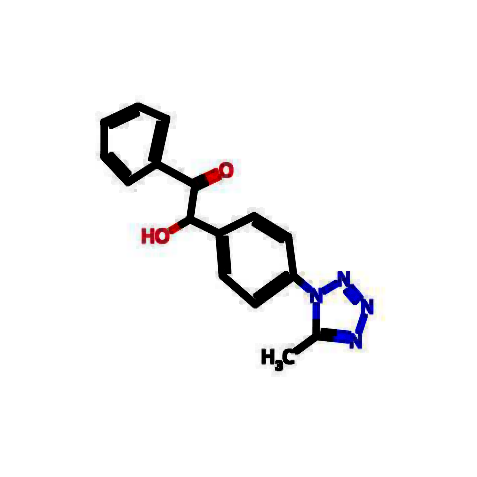 Cc1nnnn1-c1ccc(C(O)C(=O)c2ccccc2)cc1